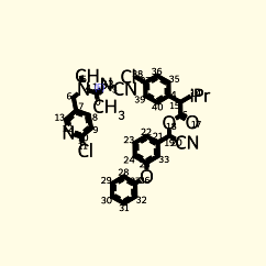 C/C(=N\C#N)N(C)Cc1ccc(Cl)nc1.CC(C)C(C(=O)OC(C#N)c1cccc(Oc2ccccc2)c1)c1ccc(Cl)cc1